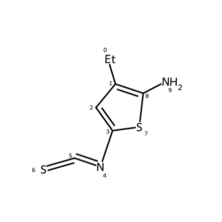 CCc1cc(N=C=S)sc1N